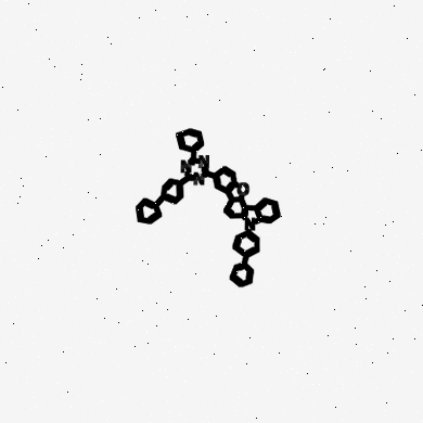 C1=CC2c3cc(-c4nc(-c5ccccc5)nc(-c5ccc(-c6ccccc6)cc5)n4)ccc3OC2c2c1n(-c1ccc(-c3ccccc3)cc1)c1ccccc21